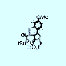 CCOC(=O)CN1CC(c2ccc(OC)cc2)C(NC(=O)OC(C)(C)C)C1=O